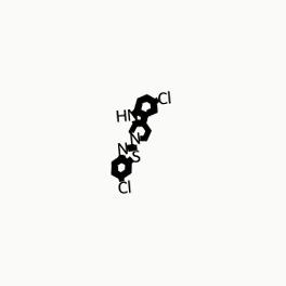 Clc1ccc2nc(N3CCc4c([nH]c5ccc(Cl)cc45)C3)sc2c1